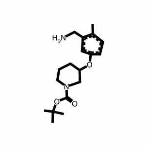 Cc1ccc(OC2CCCN(C(=O)OC(C)(C)C)C2)cc1CN